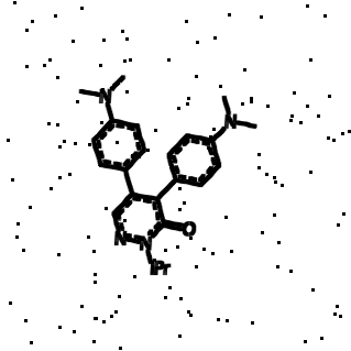 CC(C)n1ncc(-c2ccc(N(C)C)cc2)c(-c2ccc(N(C)C)cc2)c1=O